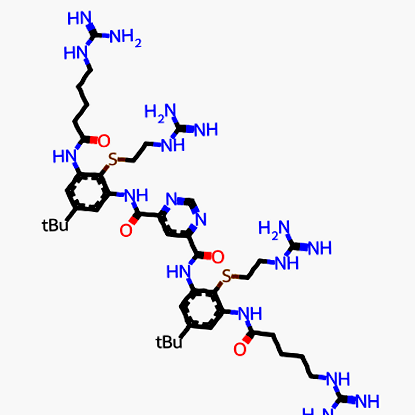 CC(C)(C)c1cc(NC(=O)CCCCNC(=N)N)c(SCCNC(=N)N)c(NC(=O)c2cc(C(=O)Nc3cc(C(C)(C)C)cc(NC(=O)CCCCNC(=N)N)c3SCCNC(=N)N)ncn2)c1